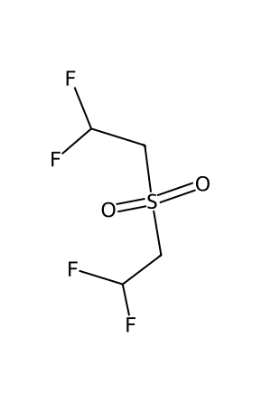 O=S(=O)(CC(F)F)CC(F)F